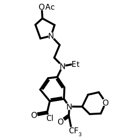 CCN(CCN1CCC(OC(C)=O)C1)c1ccc(C(=O)Cl)c(N(C(=O)C(F)(F)F)C2CCOCC2)c1